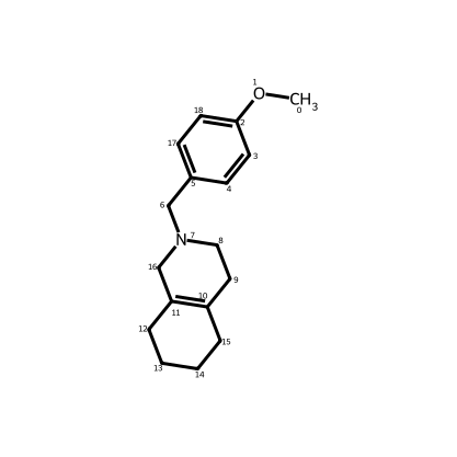 COc1ccc(CN2CCC3=C(CCCC3)C2)cc1